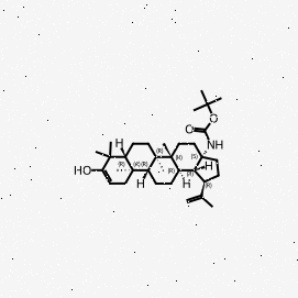 C=C(C)[C@@H]1CC[C@]2(NC(=O)OC(C)(C)C)CC[C@]3(C)[C@H](CC[C@@H]4[C@@]5(C)CC=C(O)C(C)(C)[C@@H]5CC[C@]43C)[C@@H]12